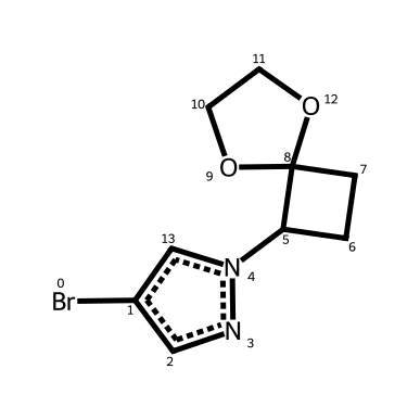 Brc1cnn(C2CCC23OCCO3)c1